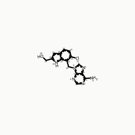 Nc1ncnc2c1ncn2Cc1c(Cl)ccc2cc(CO)[nH]c12